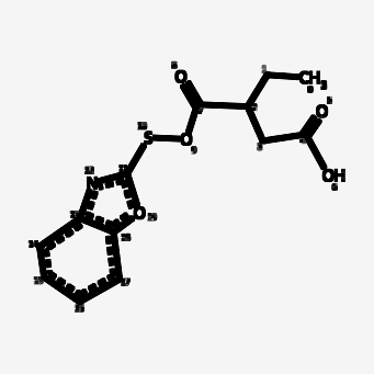 CCC(CC(=O)O)C(=O)OSc1nc2ccccc2o1